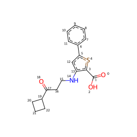 O=C(O)c1sc(-c2ccccc2)cc1NCCC(=O)C1CCC1